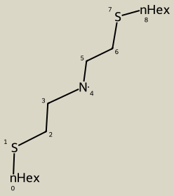 CCCCCCSCC[N]CCSCCCCCC